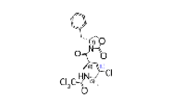 C[C@H](/C=C(/Cl)[C@H](C)NC(=O)C(Cl)(Cl)Cl)C(=O)N1C(=O)OC[C@H]1Cc1ccccc1